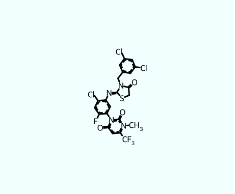 Cn1c(C(F)(F)F)cc(=O)n(-c2cc(N=C3SCC(=O)N3Cc3cc(Cl)cc(Cl)c3)c(Cl)cc2F)c1=O